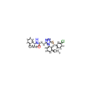 COc1ccccc1CNC(=O)CCc1nnc(SCc2cccc(Cl)c2)n1-c1cccc(C)c1